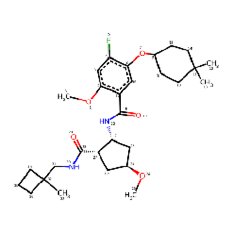 COc1cc(F)c(OC2CCC(C)(C)CC2)cc1C(=O)N[C@@H]1C[C@@H](OC)C[C@@H]1C(=O)NCC1(C)CCC1